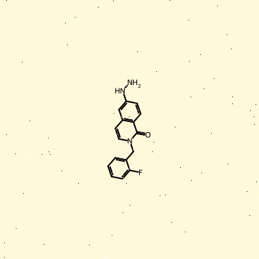 NNc1ccc2c(=O)n(Cc3ccccc3F)ccc2c1